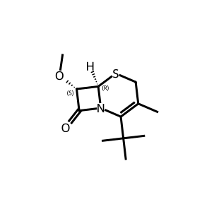 CO[C@H]1C(=O)N2C(C(C)(C)C)=C(C)CS[C@H]12